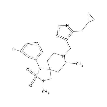 CC1CC2(CCN1Cc1scnc1CC1CC1)CN(C)S(=O)(=O)N2c1cccc(F)c1